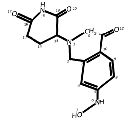 CN(Cc1cc(NO)ccc1C=O)C1CCC(=O)NC1=O